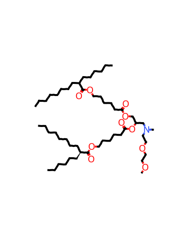 CCCCCCCCC(CCCCCC)C(=O)OCCCCCC(=O)OCC(CN(C)CCOCCOC)OC(=O)CCCCCOC(=O)[C@@H](CCCCCC)CCCCCCCC